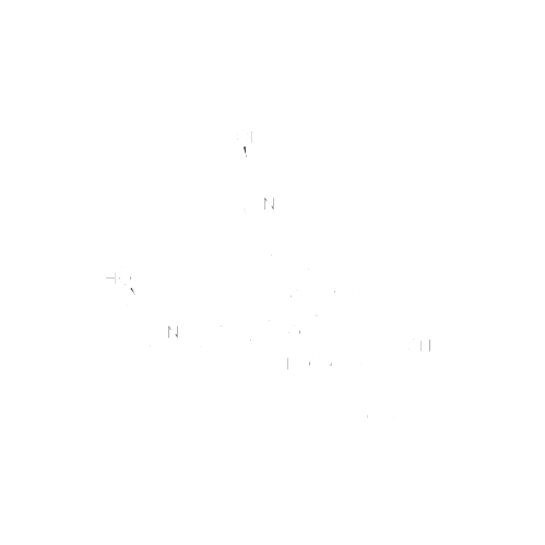 Cc1ccccc1C1=CC=CC(OCCCCN2CC[C@@H](O)C2)(OCCCN2CC[C@@H](O)C2)C1C